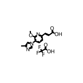 COc1nc(C=CC(=O)O)ccc1-n1cnc(C)c1.O=C(O)C(F)(F)F